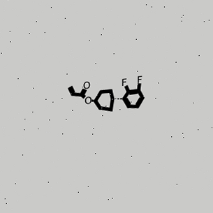 C=CC(=O)O[C@H]1CC[C@H](c2cccc(F)c2F)CC1